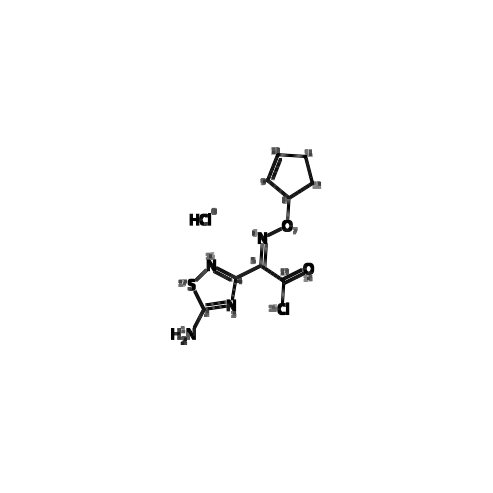 Cl.Nc1nc(C(=NOC2C=CCC2)C(=O)Cl)ns1